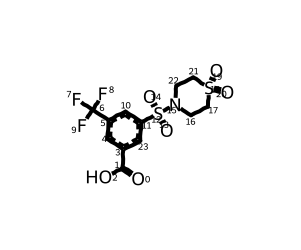 O=C(O)c1cc(C(F)(F)F)cc(S(=O)(=O)N2CCS(=O)(=O)CC2)c1